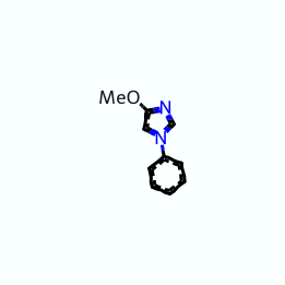 COc1cn(-c2ccccc2)cn1